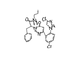 CCCNC(=O)C(Cc1ccccc1)n1cnc(-c2cc(Cl)ccc2-n2cc(Cl)nn2)cc1=O